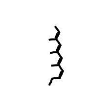 C/C=C(C)/C=C(C)/C=C(C)/C=C\CC